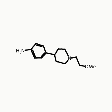 COCCN1CCC(c2ccc(N)cc2)CC1